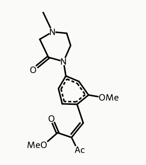 COC(=O)/C(=C\c1ccc(N2CCN(C)CC2=O)cc1OC)C(C)=O